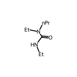 CCCN(CC)C(=O)NCC